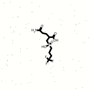 NC(=O)CCC(CP(=O)(O)CCCC(F)(F)F)C(=O)O